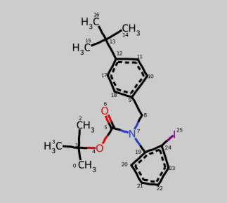 CC(C)(C)OC(=O)N(Cc1ccc(C(C)(C)C)cc1)c1ccccc1I